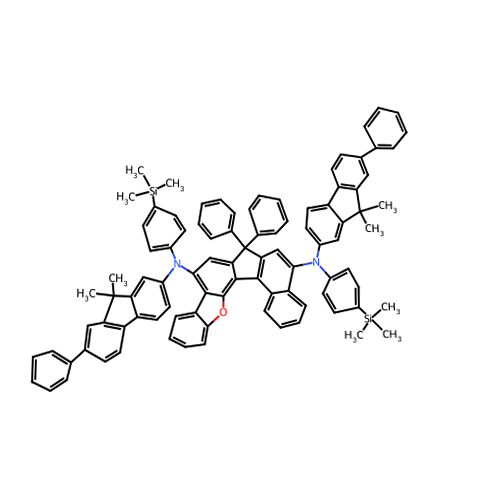 CC1(C)c2cc(-c3ccccc3)ccc2-c2ccc(N(c3ccc([Si](C)(C)C)cc3)c3cc4c(c5ccccc35)-c3c(cc(N(c5ccc([Si](C)(C)C)cc5)c5ccc6c(c5)C(C)(C)c5cc(-c7ccccc7)ccc5-6)c5c3oc3ccccc35)C4(c3ccccc3)c3ccccc3)cc21